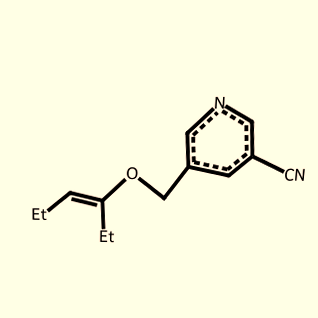 CC/C=C(\CC)OCc1cncc(C#N)c1